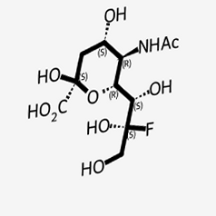 CC(=O)N[C@H]1[C@H]([C@H](O)[C@@](O)(F)CO)O[C@](O)(C(=O)O)C[C@@H]1O